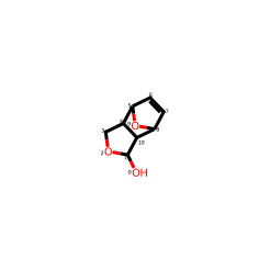 OC1OCC2C3C=CC(O3)C12